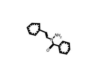 NN(C=Cc1ccccc1)C(=O)c1ccccc1